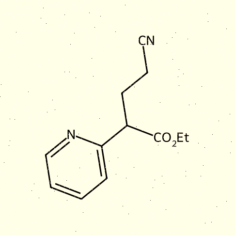 CCOC(=O)C(CCC#N)c1ccccn1